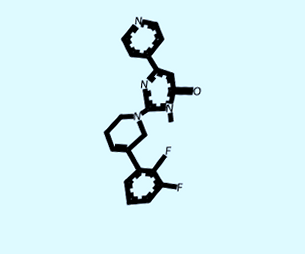 Cn1c(N2CCC=C(c3cccc(F)c3F)C2)nc(-c2ccncc2)cc1=O